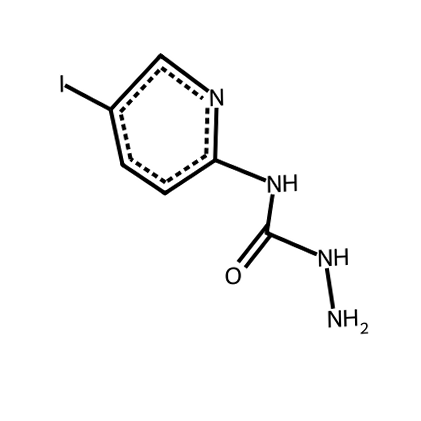 NNC(=O)Nc1ccc(I)cn1